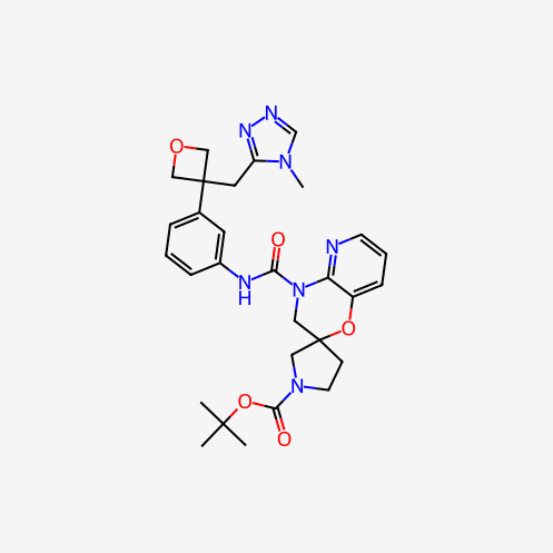 Cn1cnnc1CC1(c2cccc(NC(=O)N3CC4(CCN(C(=O)OC(C)(C)C)C4)Oc4cccnc43)c2)COC1